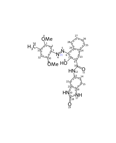 COc1cc(/N=N/c2c(O)c(C(=O)Nc3ccc4[nH]c(=O)[nH]c4c3)cc3ccccc23)c(OC)cc1C